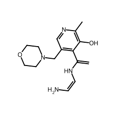 C=C(N/C=C\N)c1c(CN2CCOCC2)cnc(C)c1O